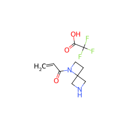 C=CC(=O)N1CCC12CNC2.O=C(O)C(F)(F)F